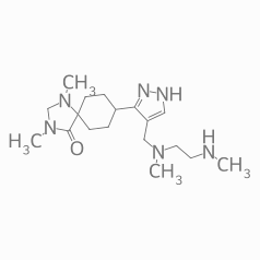 CNCCN(C)Cc1c[nH]nc1C1CCC2(CC1)C(=O)N(C)CN2C